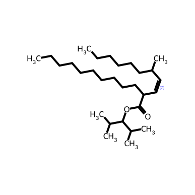 CCCCCCCCCCC(/C=C\C(C)CCCCCC)C(=O)OC(C(C)C)C(C)C